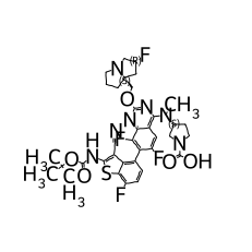 CN(c1nc(OC[C@@]23CCCN2C[C@H](F)C3)nc2c(F)c(-c3ccc(F)c4sc(NC(=O)OC(C)(C)C)c(C#N)c34)c(F)cc12)[C@H]1CCN(C(=O)O)C1